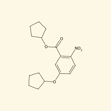 O=C(OC1CCCC1)c1cc(OC2CCCC2)ccc1[N+](=O)[O-]